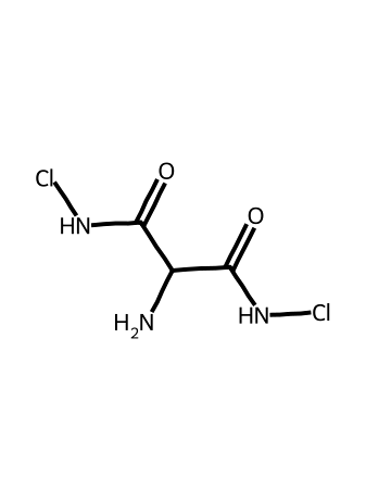 NC(C(=O)NCl)C(=O)NCl